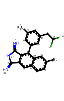 CCc1ccc2cc3c(c(-c4cc(CC(F)F)cc(C(F)(F)F)c4)c2c1)C(=N)NC3=N